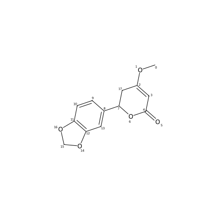 COC1=CC(=O)OC(c2ccc3c(c2)OCO3)C1